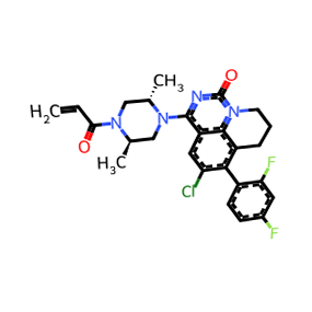 C=CC(=O)N1C[C@H](C)N(c2nc(=O)n3c4c(c(-c5ccc(F)cc5F)c(Cl)cc24)CCC3)C[C@H]1C